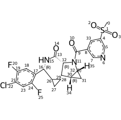 CS(=O)(=O)c1cncc(C(=O)N2[C@@H](C(=O)N[C@@H](c3cc(F)c(Cl)cc3F)C3CC3)C[C@H]3C[C@H]32)c1